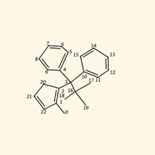 CC1=C(C(c2ccccc2)(c2ccccc2)C(C)(C)C)CC=C1